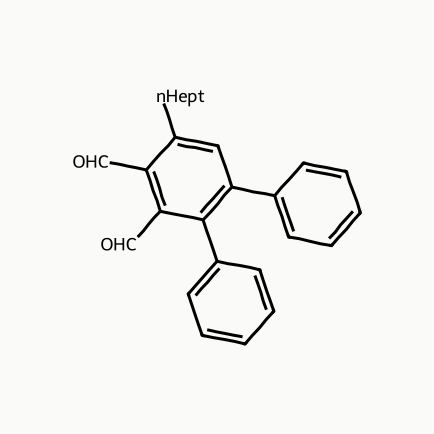 CCCCCCCc1cc(-c2ccccc2)c(-c2ccccc2)c(C=O)c1C=O